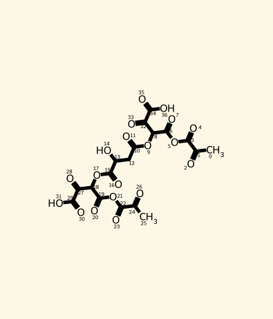 CC(=O)C(=O)OC(=O)C(OC(=O)CC(O)C(=O)OC(C(=O)OC(=O)C(C)=O)C(=O)C(=O)O)C(=O)C(=O)O